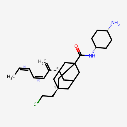 C=C(/C=C\C=C/C)[C@]12CC3CC(C(=O)N[C@H]4CC[C@@H](N)CC4)(C[C@](CCCl)(C3)C1)C2